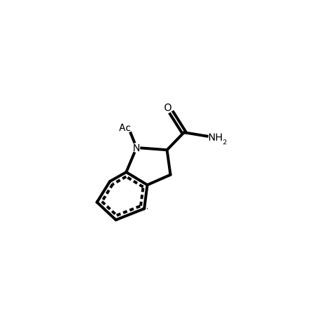 CC(=O)N1c2ccc[c]c2CC1C(N)=O